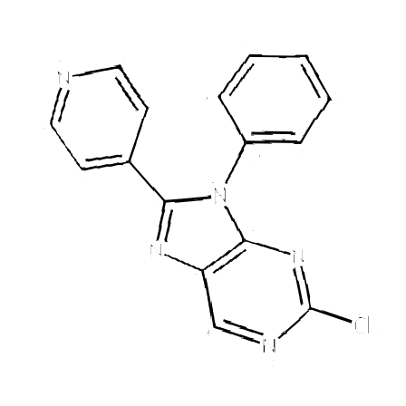 Clc1ncc2nc(-c3ccncc3)n(-c3ccccc3)c2n1